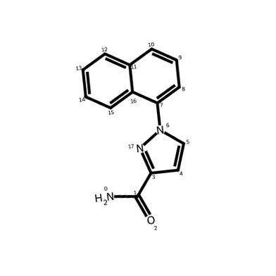 NC(=O)c1ccn(-c2cccc3ccccc23)n1